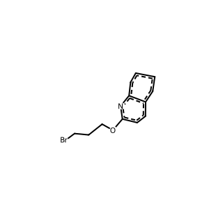 BrCCCOc1ccc2ccccc2n1